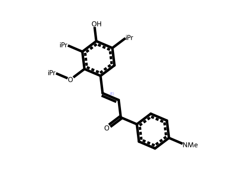 CNc1ccc(C(=O)/C=C/c2cc(C(C)C)c(O)c(C(C)C)c2OC(C)C)cc1